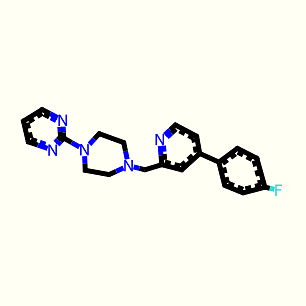 Fc1ccc(-c2ccnc(CN3CCN(c4ncccn4)CC3)c2)cc1